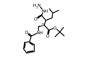 CC(C)CC(C(=O)NN)[C@H](CNC(=O)c1ccccc1)C(=O)OC(C)(C)C